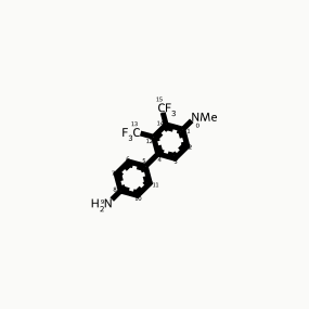 CNc1ccc(-c2ccc(N)cc2)c(C(F)(F)F)c1C(F)(F)F